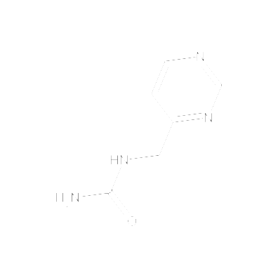 NC(=O)NCc1ccncn1